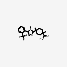 Cn1c(-c2ccccc2C(F)(F)F)nnc1C1(C)CCC(C)(C(=O)O)CC1